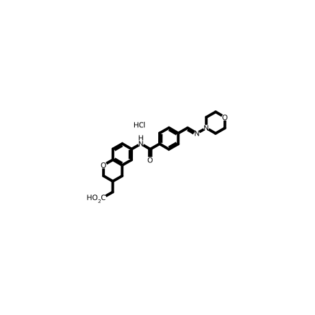 Cl.O=C(O)CC1COc2ccc(NC(=O)c3ccc(C=NN4CCOCC4)cc3)cc2C1